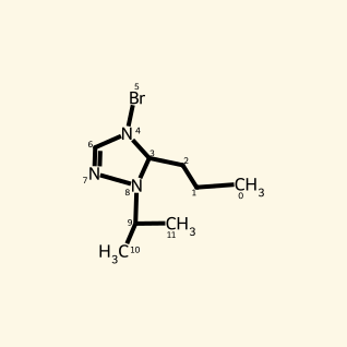 CCCC1N(Br)C=NN1C(C)C